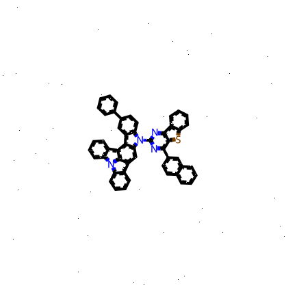 c1ccc(-c2ccc3c(c2)c2c4c5ccccc5n5c6ccccc6c(cc2n3-c2nc(-c3ccc6ccccc6c3)c3sc6ccccc6c3n2)c45)cc1